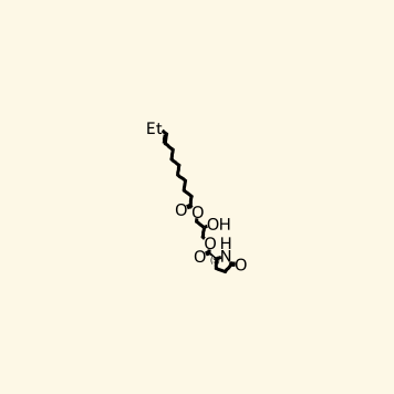 CCC=CCCCCCCCC(=O)OCC(O)COC(=O)[C@@H]1CCC(=O)N1